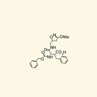 COC1=NOC(CNC(=O)[C@@H](NC(=O)OCc2ccccc2)C(Cc2ccccc2)C(=O)O)C1